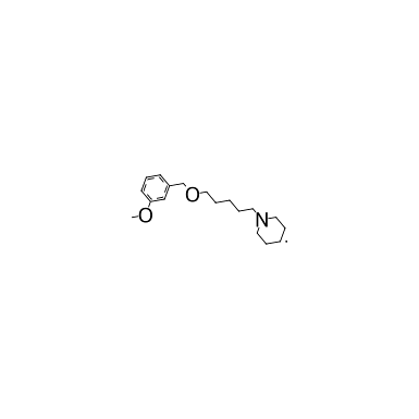 COc1cccc(COCCCCCN2CC[CH]CC2)c1